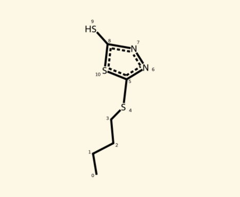 CCCCSc1nnc(S)s1